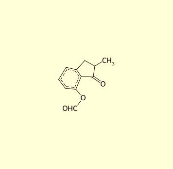 CC1Cc2cccc(OC=O)c2C1=O